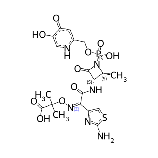 C[C@H]1[C@H](NC(=O)/C(=N\OC(C)(C)C(=O)O)c2csc(N)n2)C(=O)N1[P@@](=O)(O)OCc1cc(=O)c(O)c[nH]1